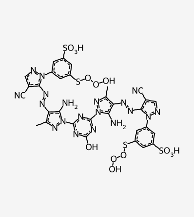 Cc1nn(-c2nc(O)nc(-n3nc(C)c(N=Nc4c(C#N)cnn4-c4cc(SOOO)cc(S(=O)(=O)O)c4)c3N)n2)c(N)c1N=Nc1c(C#N)cnn1-c1cc(SOOO)cc(S(=O)(=O)O)c1